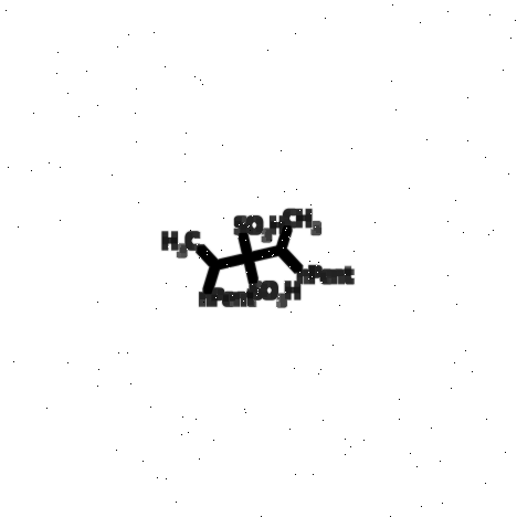 CCCCCC(C)C(C(C)CCCCC)(S(=O)(=O)O)S(=O)(=O)O